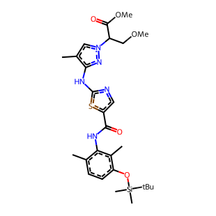 COCC(C(=O)OC)n1cc(C)c(Nc2ncc(C(=O)Nc3c(C)ccc(O[Si](C)(C)C(C)(C)C)c3C)s2)n1